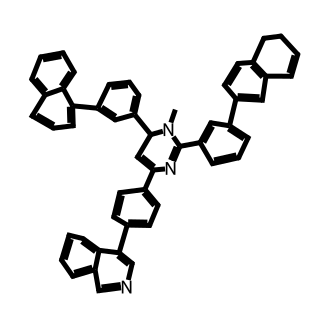 CN1C(c2cccc(-c3ccc4c(c3)C=CCC4)c2)=NC(c2ccc(-c3cncc4ccccc34)cc2)=CC1c1cccc(-c2cccc3ccccc23)c1